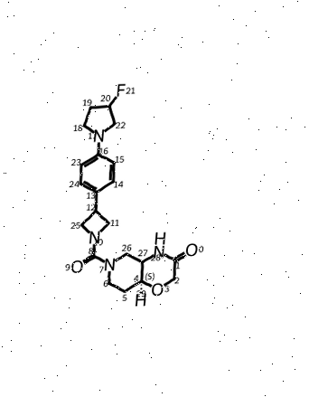 O=C1CO[C@H]2CCN(C(=O)N3CC(c4ccc(N5CCC(F)C5)cc4)C3)CC2N1